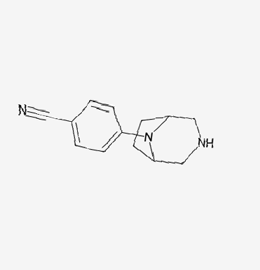 N#Cc1ccc(N2C3CCC2CNC3)cc1